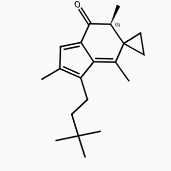 CC1=C(CCC(C)(C)C)C2=C(C)C3(CC3)[C@H](C)C(=O)C2=C1